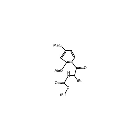 COc1ccc(C(=O)C(NC(=O)OC(C)(C)C)C(C)(C)C)c(OC)c1